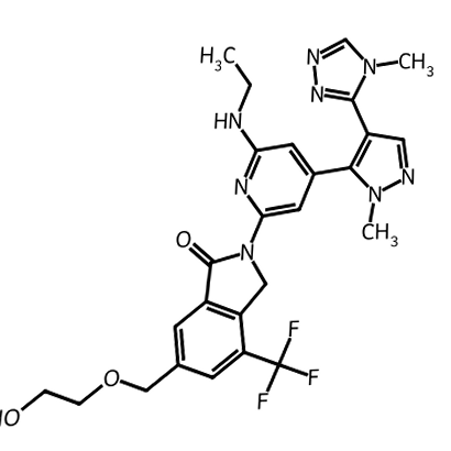 CCNc1cc(-c2c(-c3nncn3C)cnn2C)cc(N2Cc3c(cc(COCCO)cc3C(F)(F)F)C2=O)n1